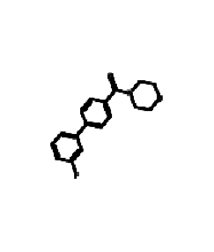 O=C(c1ccc(-c2cccc(F)c2)cc1)N1CCOCC1